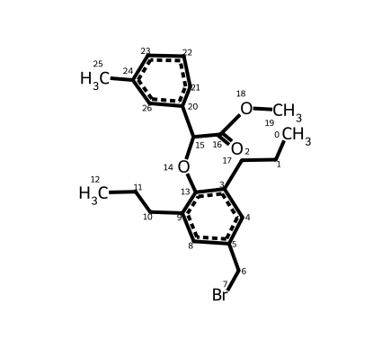 CCCc1cc(CBr)cc(CCC)c1OC(C(=O)OC)c1cccc(C)c1